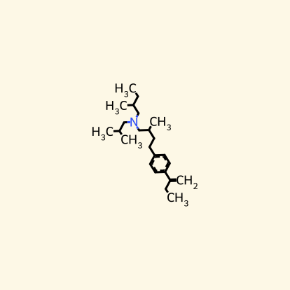 C=C(CC)c1ccc(CCC(C)CN(CC(C)C)CC(C)CC)cc1